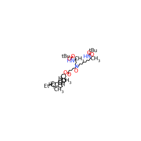 CCC(CCC(C)[C@H]1CC[C@H]2[C@@H]3CC=C4C[C@@H](OC(=O)CCCC(=O)N(CCCCCCCC(C)NC(=O)OC(C)(C)C)CCC(C)NC(=O)OC(C)(C)C)CC[C@]4(C)[C@H]3CC[C@]12C)C(C)C